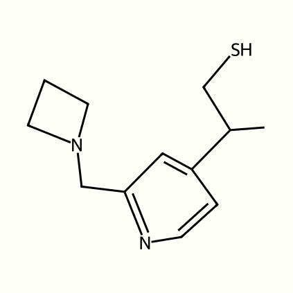 CC(CS)c1ccnc(CN2CCC2)c1